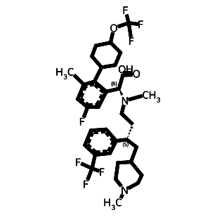 Cc1cc(F)cc([C@H](C(=O)O)N(C)CC[C@H](CC2CCN(C)CC2)c2cccc(C(F)(F)F)c2)c1C1CCC(OC(F)(F)F)CC1